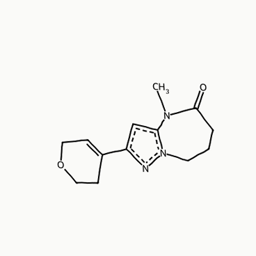 CN1C(=O)CCCn2nc(C3=CCOCC3)cc21